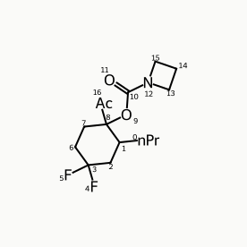 CCCC1CC(F)(F)CCC1(OC(=O)N1CCC1)C(C)=O